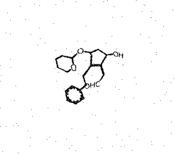 O=CCC1C(O)CC(OC2CCCCO2)C1CCc1ccccc1